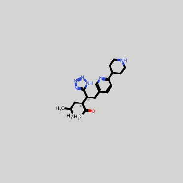 CC(=O)[C@@H](CC(C)C)[C@H](Cc1ccc(C2CCNCC2)nc1)c1nnn[nH]1